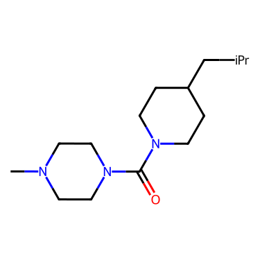 CC(C)CC1CCN(C(=O)N2CCN(C)CC2)CC1